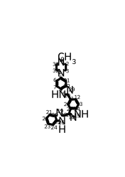 CN1CCN(c2ccc3[nH]c(-c4ccc5[nH]nc(-c6nc7ccccc7[nH]6)c5c4)nc3c2)CC1